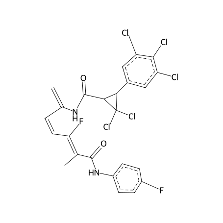 C=C(/C=C\C(F)=C(/C)C(=O)Nc1ccc(F)cc1)NC(=O)C1C(c2cc(Cl)c(Cl)c(Cl)c2)C1(Cl)Cl